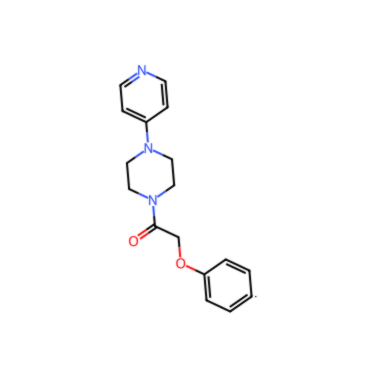 O=C(COc1cc[c]cc1)N1CCN(c2ccncc2)CC1